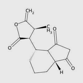 C=C1OC(=O)[C@H]([C@H]2CCC[C@H]3C(=O)CC(=O)C32)[C@@H]1C